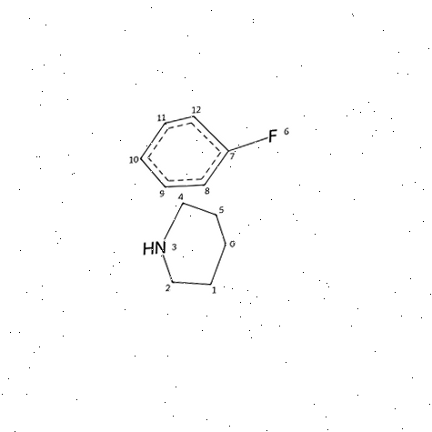 C1CCNCC1.Fc1ccccc1